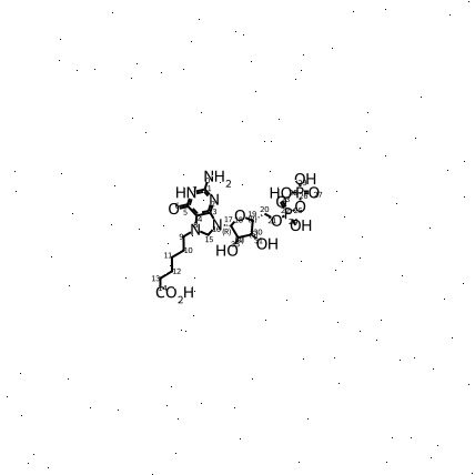 Nc1nc2c(c(=O)[nH]1)N(CCCCCC(=O)O)CN2[C@@H]1O[C@H](COP(=O)(O)OP(=O)(O)O)[C@@H](O)[C@H]1O